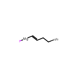 CCCCCC=[CH][Mg][I]